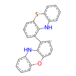 [c]1ccc2c(c1-c1cccc3c1Nc1ccccc1S3)Nc1ccccc1O2